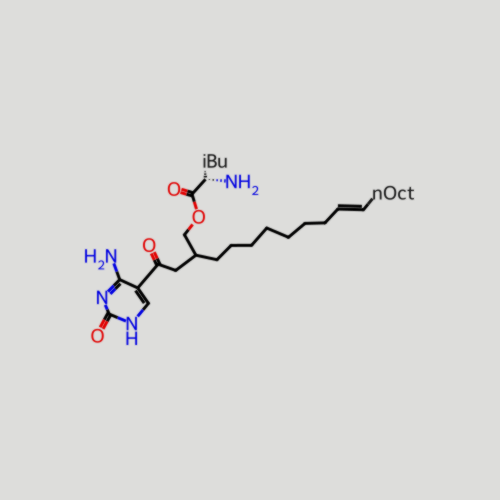 CCCCCCCCC=CCCCCCCCC(COC(=O)[C@@H](N)[C@@H](C)CC)CC(=O)c1c[nH]c(=O)nc1N